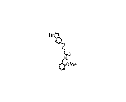 COc1ccccc1CN(C)C(=O)CCCOc1ccc2[nH]ccc2c1